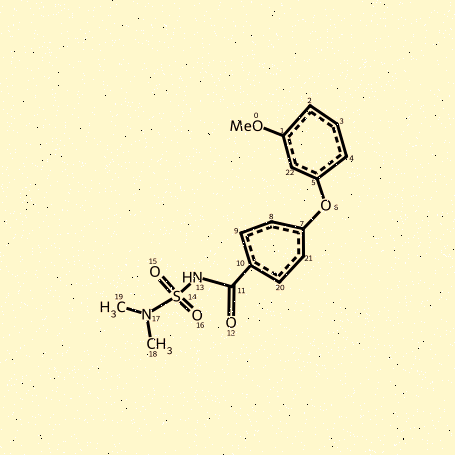 COc1cccc(Oc2ccc(C(=O)NS(=O)(=O)N(C)C)cc2)c1